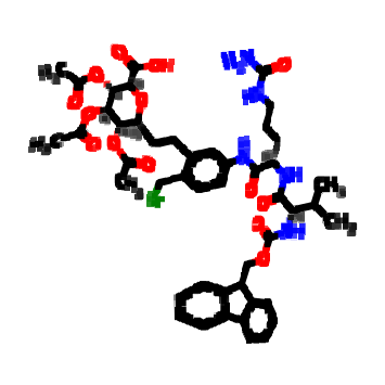 CC(=O)O[C@@H]1[C@@H](OC(C)=O)[C@H](CCc2cc(NC(=O)[C@H](CCCNC(N)=O)NC(=O)[C@@H](NC(=O)OCC3c4ccccc4-c4ccccc43)C(C)C)ccc2CBr)O[C@H](C(=O)O)[C@H]1OC(C)=O